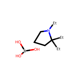 CCN1CCCC1(CC)CC.OB(O)O